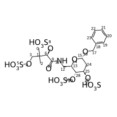 CC(C)(COS(=O)(=O)O)[C@@H](OS(=O)(=O)O)C(=O)NC[C@H]1O[C@H](OCc2ccccc2)[CH][C@@H](OS(=O)(=O)O)[C@@H]1OS(=O)(=O)O